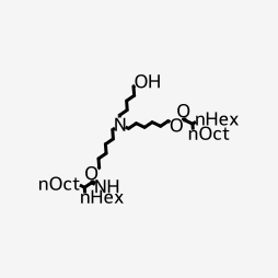 CCCCCCCCC(CCCCCC)C(=N)OCCCCCCN(CCCCCO)CCCCCCOC(=O)C(CCCCCC)CCCCCCCC